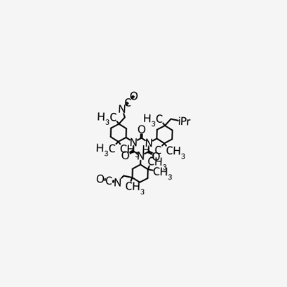 CC(C)CC1(C)CCC(C)(C)C(n2c(=O)n(C3CC(C)(CN=C=O)CCC3(C)C)c(=O)n(C3CC(C)(CN=C=O)CCC3(C)C)c2=O)C1